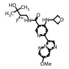 COc1cnn2c(-c3cc(NC4COC4)c(C(=O)NC[C@@H](F)C(C)(C)O)cn3)cnc2c1